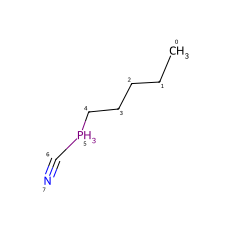 CCCCC[PH3]C#N